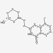 Cc1cccc2c(=O)[nH]c(CCN3CCC[C@@H](O)C3)cc12